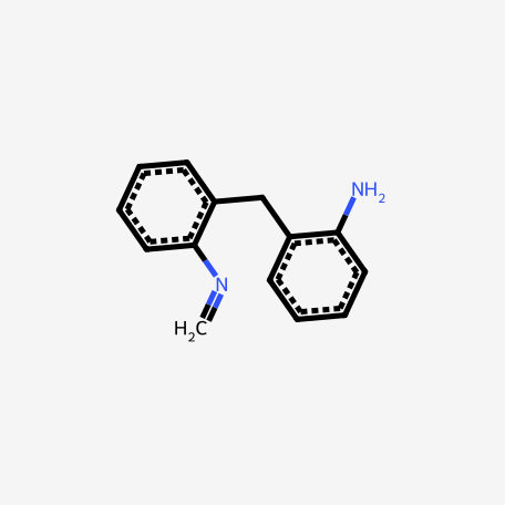 C=Nc1ccccc1Cc1ccccc1N